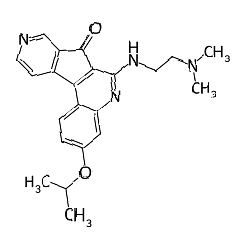 CC(C)Oc1ccc2c3c(c(NCCN(C)C)nc2c1)C(=O)c1cnccc1-3